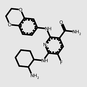 NC(=O)c1cc(F)c(NC2CCCCC2N)nc1Nc1ccc2c(c1)OCCO2